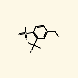 O=S(=O)(F)c1ccc(CCl)cc1C(F)(F)F